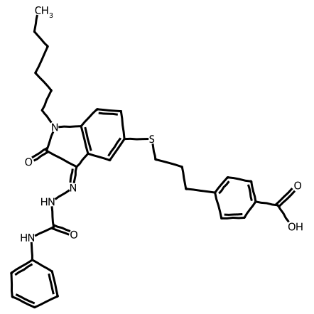 CCCCCCN1C(=O)C(=NNC(=O)Nc2ccccc2)c2cc(SCCCc3ccc(C(=O)O)cc3)ccc21